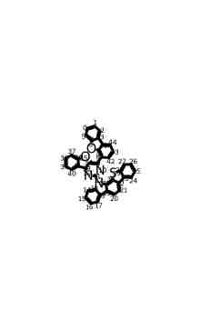 c1ccc2c(c1)oc1c(-c3nc(-n4c5ccccc5c5ccc6c7ccccc7sc6c54)nc4c3oc3ccccc34)cccc12